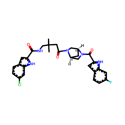 CC(C)(CNC(=O)c1cc2ccc(Cl)cc2[nH]1)CC(=O)N1C[C@@H]2C[C@H]1CN2C(=O)c1cc2ccc(F)cc2[nH]1